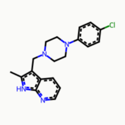 Cc1[nH]c2ncccc2c1CN1CCN(c2ccc(Cl)cc2)CC1